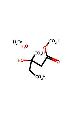 O.O=C(O)CC(O)(CC(=O)OC(=O)O)C(=O)O.[CaH2]